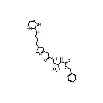 O=C(CC1=NOC(CCCNC2NC=CCN2)C1)NCC(NC(=O)OCc1ccccc1)C(=O)O